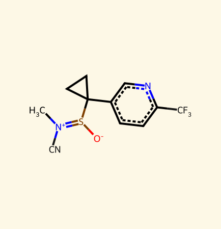 C[N+](C#N)=S([O-])C1(c2ccc(C(F)(F)F)nc2)CC1